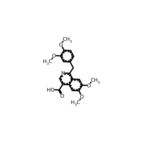 COc1ccc(Cc2ncc(C(=O)O)c3cc(OC)c(OC)cc23)cc1OC